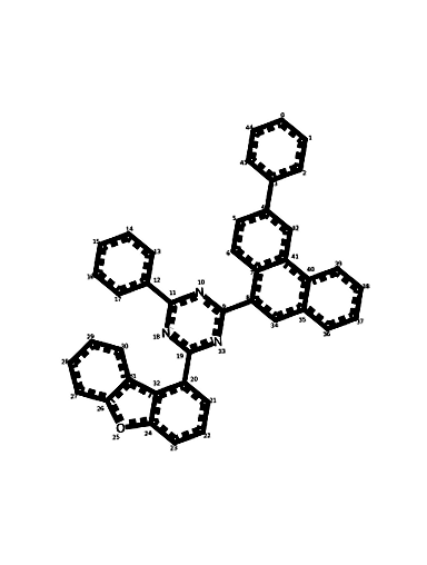 c1ccc(-c2ccc3c(-c4nc(-c5ccccc5)nc(-c5cccc6oc7ccccc7c56)n4)cc4ccccc4c3c2)cc1